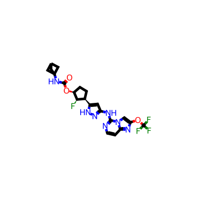 O=C(NC12CC(C1)C2)O[C@H]1CC[C@@H](c2cc(Nc3nccc4nc(OC(F)(F)F)cn34)n[nH]2)[C@@H]1F